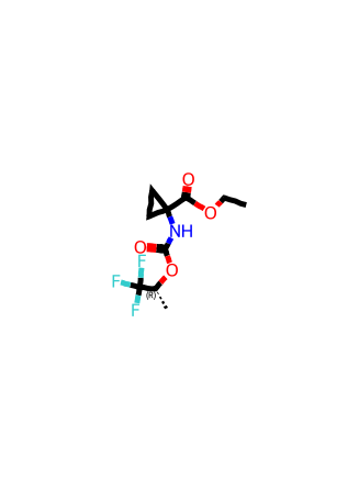 CCOC(=O)C1(NC(=O)O[C@H](C)C(F)(F)F)CC1